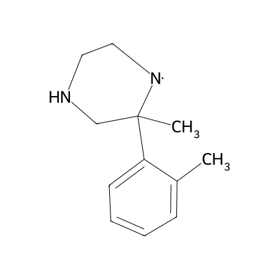 Cc1ccccc1C1(C)CNCC[N]1